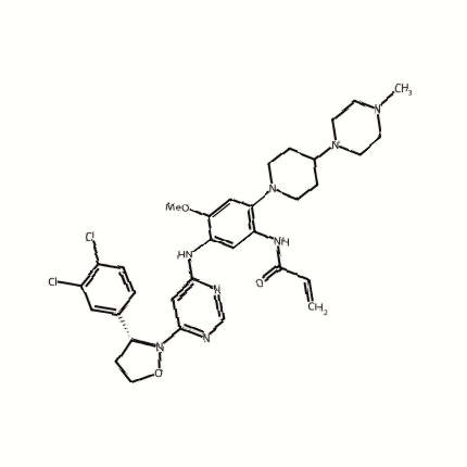 C=CC(=O)Nc1cc(Nc2cc(N3OCC[C@@H]3c3ccc(Cl)c(Cl)c3)ncn2)c(OC)cc1N1CCC(N2CCN(C)CC2)CC1